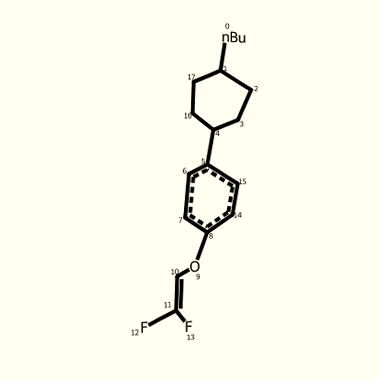 CCCCC1CCC(c2ccc(OC=C(F)F)cc2)CC1